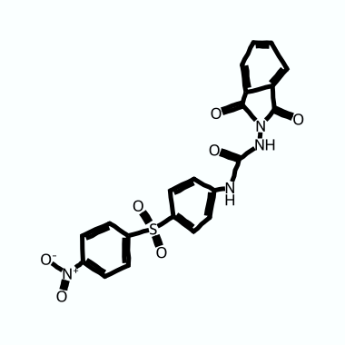 O=C(Nc1ccc(S(=O)(=O)c2ccc([N+](=O)[O-])cc2)cc1)NN1C(=O)c2ccccc2C1=O